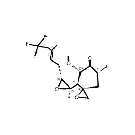 CO[C@@H]1C(=O)[C@H](F)C[C@]2(CO2)[C@H]1[C@@]1(C)O[C@@H]1C/C=C(\C)C(F)(F)F